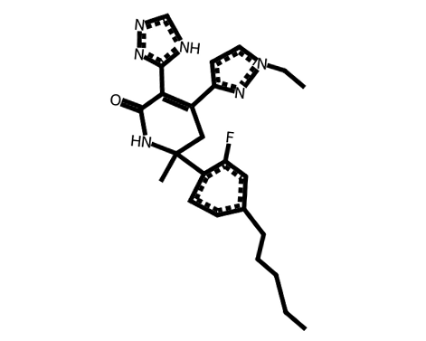 CCCCCc1ccc(C2(C)CC(c3ccn(CC)n3)=C(c3nnc[nH]3)C(=O)N2)c(F)c1